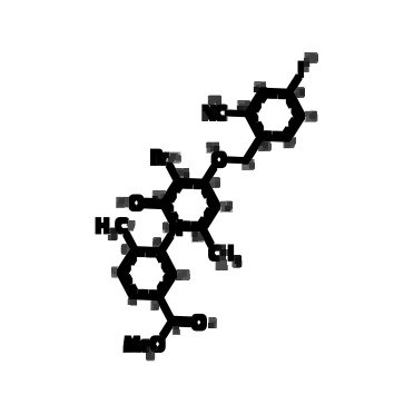 COC(=O)c1ccc(C)c(-n2c(C)cc(OCc3ccc(F)cc3C#N)c(Br)c2=O)c1